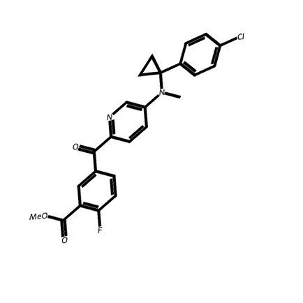 COC(=O)c1cc(C(=O)c2ccc(N(C)C3(c4ccc(Cl)cc4)CC3)cn2)ccc1F